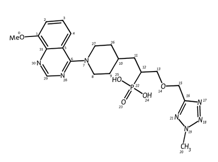 COc1cccc2c(N3CCC(CC(COCc4nnn(C)n4)P(=O)(O)O)CC3)ncnc12